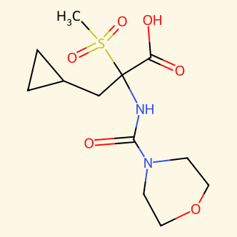 CS(=O)(=O)C(CC1CC1)(NC(=O)N1CCOCC1)C(=O)O